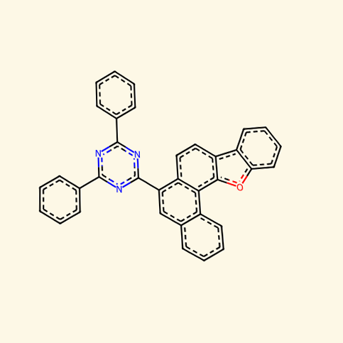 c1ccc(-c2nc(-c3ccccc3)nc(-c3cc4ccccc4c4c3ccc3c5ccccc5oc34)n2)cc1